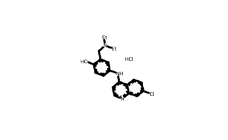 CCN(CC)Cc1cc(Nc2ccnc3cc(Cl)ccc23)ccc1O.Cl